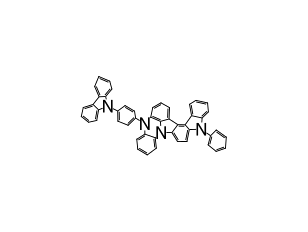 c1ccc(-n2c3ccccc3c3c4c5cccc6c5n(c4ccc32)-c2ccccc2N6c2ccc(-n3c4ccccc4c4ccccc43)cc2)cc1